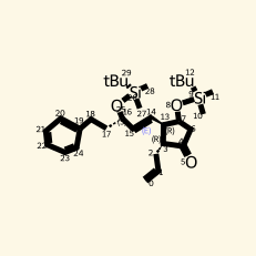 C=CC[C@H]1C(=O)CC(O[Si](C)(C)C(C)(C)C)[C@@H]1/C=C/[C@H](CCc1ccccc1)O[Si](C)(C)C(C)(C)C